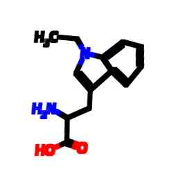 CCn1cc(CC(N)C(=O)O)c2ccccc21